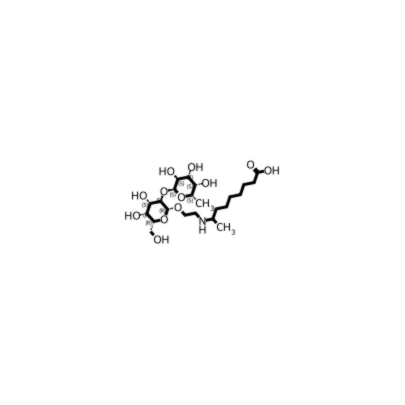 CC(CCCCCCC(=O)O)NCCO[C@@H]1O[C@H](CO)[C@H](O)[C@H](O)[C@H]1O[C@@H]1O[C@@H](C)[C@@H](O)[C@@H](O)[C@@H]1O